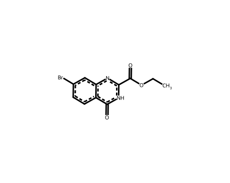 CCOC(=O)c1nc2cc(Br)ccc2c(=O)[nH]1